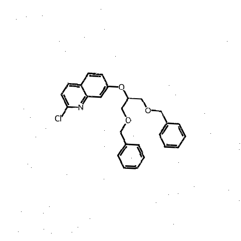 Clc1ccc2ccc(OC(COCc3ccccc3)COCc3ccccc3)cc2n1